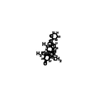 C=C1C[C@@H]2[C@H](CC[C@]3(C)[C@@H](OC4CCCCO4)CC[C@@H]23)[C@@]2(C)C(C)=CC(=O)C=C12